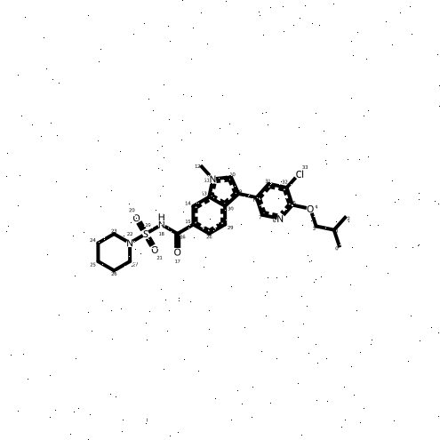 CC(C)COc1ncc(-c2cn(C)c3cc(C(=O)NS(=O)(=O)N4CCCCC4)ccc23)cc1Cl